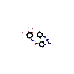 COc1cc(CNC(=O)c2ccc3nc(C)c4nnc(-c5ccccc5Cl)n4c3c2)cc(OC)c1OC